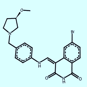 CO[C@@H]1CCN(Cc2ccc(NC=C3C(=O)NC(=O)c4ccc(Br)cc43)cc2)C1